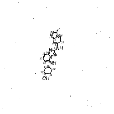 Cc1nnc2cc(Nc3nc4cccc(N[C@H]5CC[C@@H](O)CC5)n4n3)ccn12